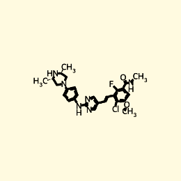 CNC(=O)c1cc(OC)c(Cl)c(/C=C/c2cnc(Nc3ccc(N4C[C@@H](C)N[C@@H](C)C4)cc3)nc2)c1F